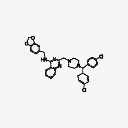 ClC1=CCC(C(c2ccc(Cl)cc2)N2CCN(Cc3nc(NCc4ccc5c(c4)OCO5)c4ccccc4n3)CC2)C=C1